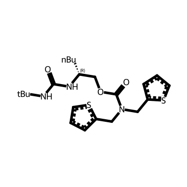 CCCC[C@H](COC(=O)N(Cc1cccs1)Cc1cccs1)NC(=O)NC(C)(C)C